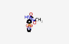 CC(=O)N1CC(=O)Nc2ccc(S(=O)(=O)N3CCCC3)cc21